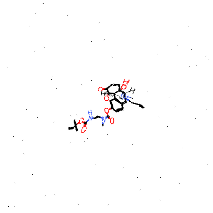 C=CC[N@+]1(C)CC[C@]23c4c5ccc(OC(=O)N(C)CCNC(=O)OC(C)(C)C)c4O[C@H]2C(=O)CC[C@@]3(O)[C@H]1C5